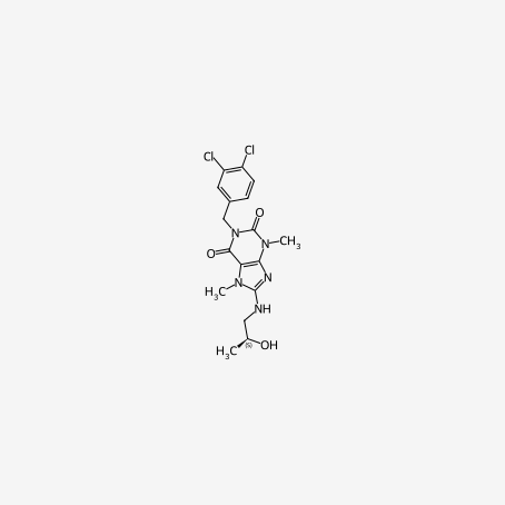 C[C@H](O)CNc1nc2c(c(=O)n(Cc3ccc(Cl)c(Cl)c3)c(=O)n2C)n1C